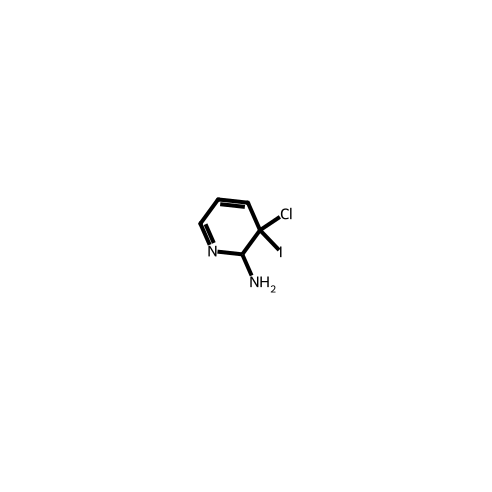 NC1N=CC=CC1(Cl)I